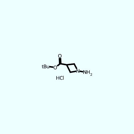 CC(C)(C)OC(=O)C1CN(N)C1.Cl